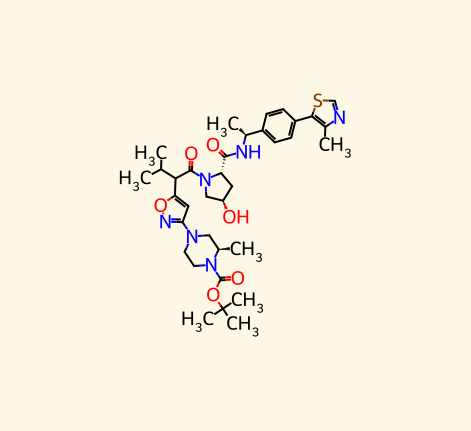 Cc1ncsc1-c1ccc([C@H](C)NC(=O)[C@@H]2C[C@@H](O)CN2C(=O)C(c2cc(N3CCN(C(=O)OC(C)(C)C)[C@H](C)C3)no2)C(C)C)cc1